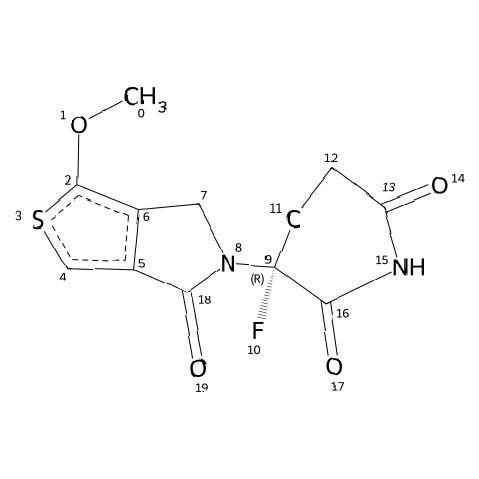 COc1scc2c1CN([C@@]1(F)CCC(=O)NC1=O)C2=O